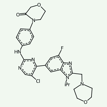 CC(C)n1c(CN2CCOCC2)nc2c(F)cc(-c3nc(Nc4ccc(N5CCOCC5=O)cc4)ncc3Cl)cc21